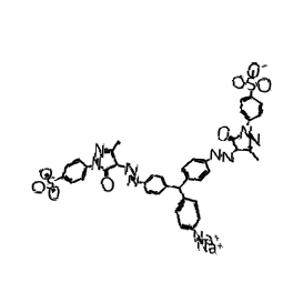 CC1=NN(c2ccc(S(=O)(=O)[O-])cc2)C(=O)C1N=Nc1ccc(C(c2ccccc2)c2ccc(N=NC3C(=O)N(c4ccc(S(=O)(=O)[O-])cc4)N=C3C)cc2)cc1.[Na+].[Na+]